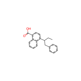 CCC(Cc1ccccc1)c1ccc(C(=O)O)c2ccccc12